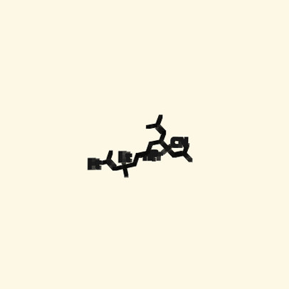 CCCC(C#N)(C=C(C)C)C(C=C(C)C)CC(C)=CCC(C)(C=C(C)CC)CC